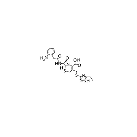 CCc1nc(SCC2=C(C(=O)O)N3C(=O)C(NC(=O)Cc4ccccc4N)[C@@H]3SC2)n[nH]1